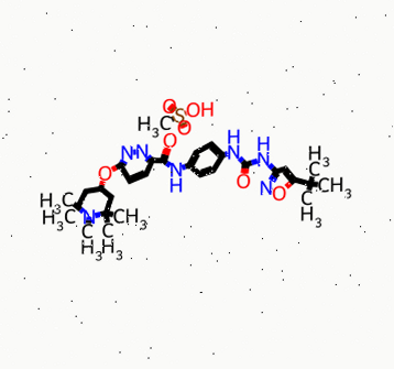 CN1C(C)(C)CC(Oc2ccc(C(=O)Nc3ccc(NC(=O)Nc4cc(C(C)(C)C)on4)cc3)nn2)CC1(C)C.CS(=O)(=O)O